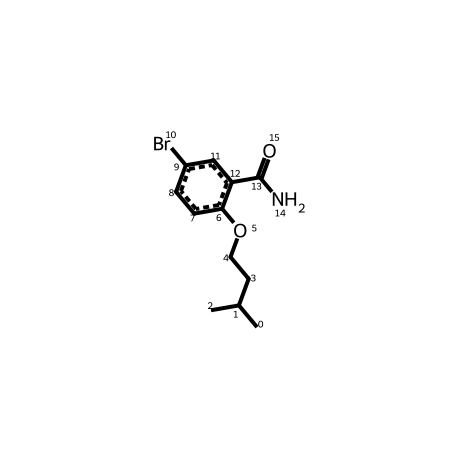 CC(C)CCOc1ccc(Br)cc1C(N)=O